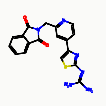 NC(N)=Nc1nc(-c2ccnc(CN3C(=O)c4ccccc4C3=O)c2)cs1